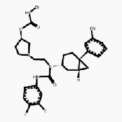 CCNC(=O)O[C@@H]1CCN(CCN(C(=O)Nc2ccc(F)c(Cl)c2)[C@@H]2CC[C@]3(c4cccc(C#N)c4)C[C@@H]3C2)C1